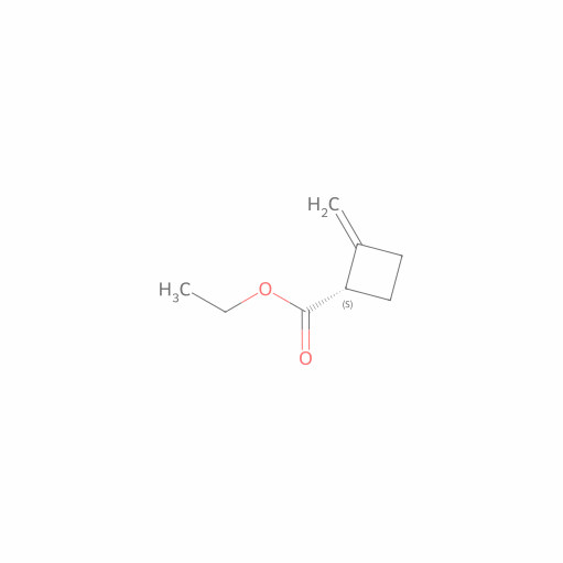 C=C1CC[C@@H]1C(=O)OCC